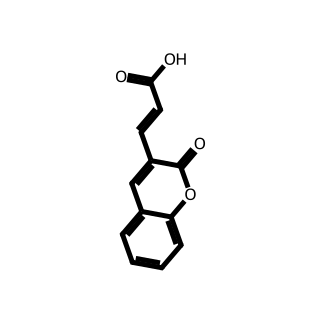 O=C(O)C=Cc1cc2ccccc2oc1=O